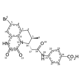 C[C@@H]1Cc2cc(Br)cc3[nH]c(=O)c(=O)n(c23)[C@H]1CC(=O)Nc1ccc(C(=O)O)cc1